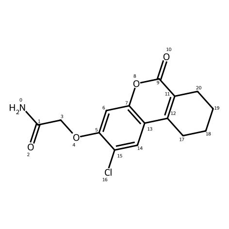 NC(=O)COc1cc2oc(=O)c3c(c2cc1Cl)CCCC3